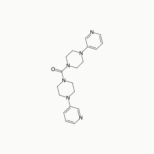 O=C(N1CCN(c2cccnc2)CC1)N1CCN(c2cccnc2)CC1